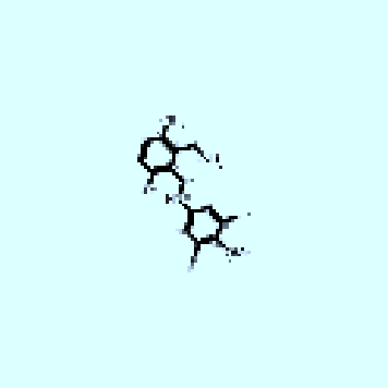 CCc1ccc(N)c(CN)c1CNc1cc(F)c(OC)c(F)c1